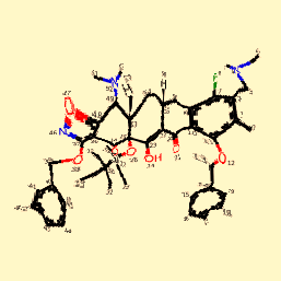 Cc1c(CN(C)C)c(F)c2c(c1OCc1ccccc1)C(=O)C1=C(O)[C@]3(O[Si](C)(C)C(C)(C)C)C(=O)c4c(OCc5ccccc5)noc4[C@@H](N(C)C)[C@@H]3C[C@@H]1C2